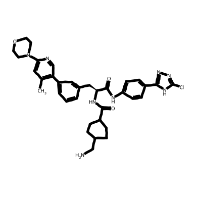 Cc1cc(N2CCOCC2)ncc1-c1cccc(C[C@H](NC(=O)C2CCC(CN)CC2)C(=O)Nc2ccc(-c3nnc(Cl)[nH]3)cc2)c1